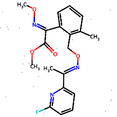 CO/N=C(/C(=O)OC)c1cccc(C)c1CO/N=C(\C)c1cccc(F)n1